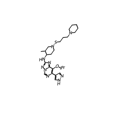 CC(C)Oc1c(-c2cn[nH]c2)ncn2nc(NC3CCN(SCCCN4CCCCC4)CC3C)nc12